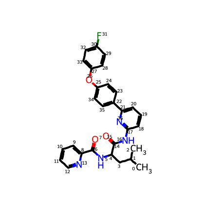 CC(C)CC(NC(=O)c1ccccn1)C(=O)Nc1cccc(-c2ccc(Oc3ccc(F)cc3)cc2)n1